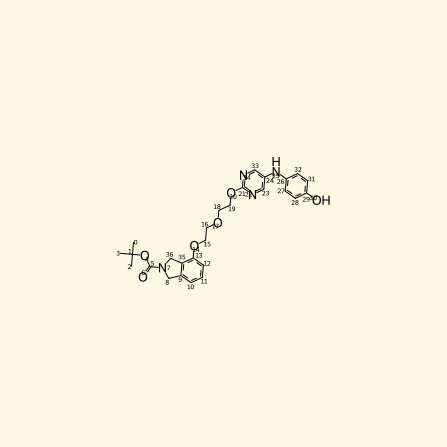 CC(C)(C)OC(=O)N1Cc2cccc(OCCOCCOc3ncc(Nc4ccc(O)cc4)cn3)c2C1